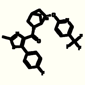 Cc1nc(C(=O)N2CC3CC2[C@@H](Oc2ccc(C(F)(F)F)cn2)C3)c(-c2ccc(F)cc2)s1